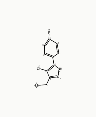 NCc1n[nH]c(-c2ccc(F)cc2)c1Cl